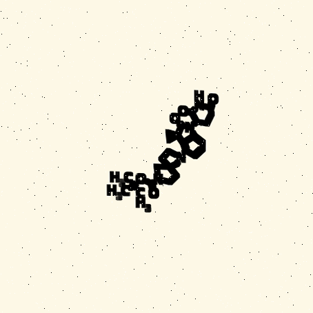 CC(C)(C)OC(=O)N1CCC2(CCN(c3cccc4c3C3(CC3)C(=O)N4C3CCC(=O)NC3=O)C2)C1